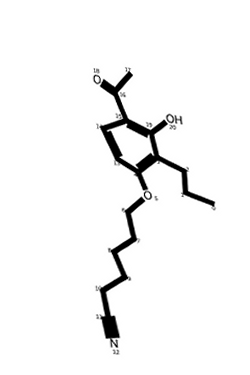 CCCc1c(OCCCCCC#N)ccc(C(C)=O)c1O